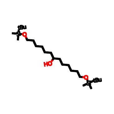 CC(C)(C)[Si](C)(C)OCCCCCCC(O)CCCCCCO[Si](C)(C)C(C)(C)C